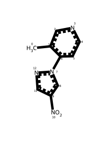 Cc1cnccc1-n1cc([N+](=O)[O-])cn1